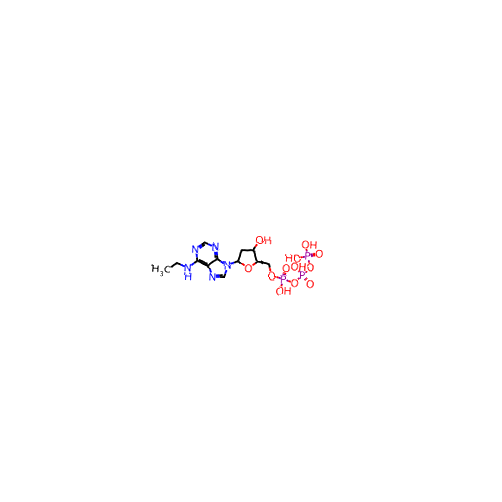 CCNc1ncnc2c1ncn2C1CC(O)C(COP(=O)(O)OP(=O)(O)OP(=O)(O)O)O1